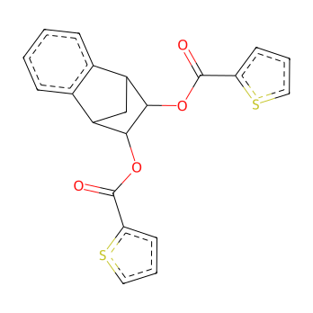 O=C(OC1C2CC(c3ccccc32)C1OC(=O)c1cccs1)c1cccs1